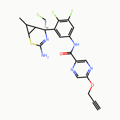 C#CCOc1cnc(C(=O)Nc2cc(F)c(F)c([C@@]3(CF)N=C(N)SC4C(C)C43)c2)cn1